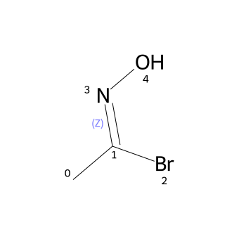 C/C(Br)=N/O